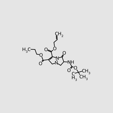 C=CCOC(=O)C1=C(C(=O)OCCC)CN2CC(NC(=O)OC(C)(C)C)C(=O)N12